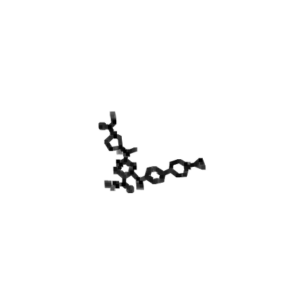 C=CC(=O)N1CC[C@H](N(C)c2nnc(C(N)=O)c(Nc3ccc(C4CCN(C5CC5)CC4)cc3)n2)C1